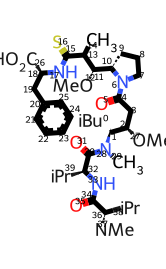 CC[C@H](C)[C@@H]([C@@H](CC(=O)N1CCC[C@H]1[C@H](OC)C(C)C(=S)N[C@@H](Cc1ccccc1)C(=O)O)OC)N(C)C(=O)[C@@H](NC(=O)[C@@H](NC)C(C)C)C(C)C